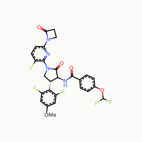 COc1cc(F)c([C@@H]2CN(c3nc(N4CCC4=O)ccc3F)C(=O)C2NC(=O)c2ccc(OC(F)F)cc2)c(F)c1